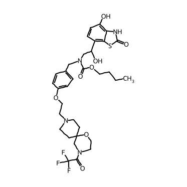 CCCCOC(=O)N(Cc1ccc(OCCN2CCC3(CC2)CN(C(=O)C(F)(F)F)CCO3)cc1)CC(O)c1ccc(O)c2[nH]c(=O)sc12